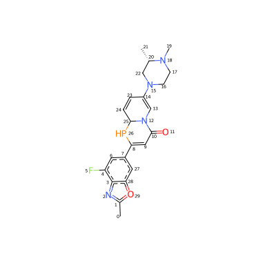 Cc1nc2c(F)cc(C3=CC(=O)N4C=C(N5CCN(C)[C@@H](C)C5)C=CC4P3)cc2o1